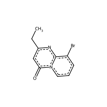 CCc1cc(=O)n2cccc(Br)c2n1